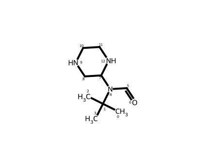 CC(C)(C)N(C=O)C1CNCCN1